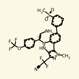 Cn1nc(C(F)(F)C#N)c2c1-c1ccc(-c3cccc(S(C)(=O)=O)c3)cc1N(/C(=C\N)c1ccc(OC(F)(F)F)cc1)N2